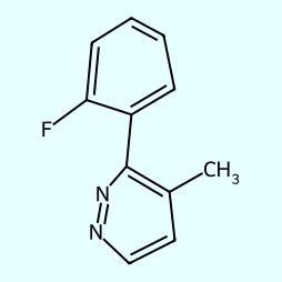 Cc1ccnnc1-c1ccccc1F